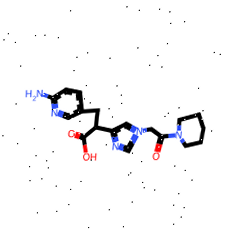 Nc1ccc(CC(C(=O)O)c2cn(CC(=O)N3CCCCC3)cn2)cn1